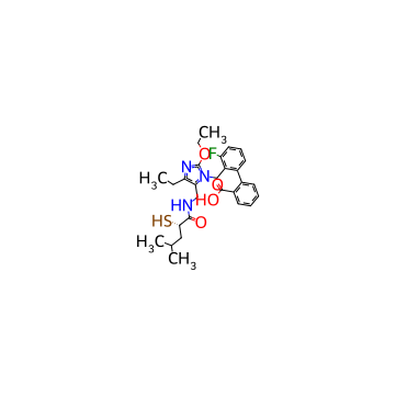 CCOc1nc(CC)c(CNC(=O)[C@@H](S)CC(C)C)n1Cc1c(F)cccc1-c1ccccc1C(=O)O